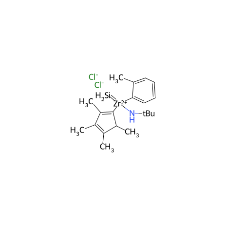 CC1=C(C)C(C)[C]([Zr+2](=[SiH2])([NH]C(C)(C)C)[c]2ccccc2C)=C1C.[Cl-].[Cl-]